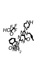 CC#CCn1c(N2CCNCC2)nc2nc(Nc3ccccc3S(N)(=O)=O)n(C)c(=O)c21.O=C(O)C(F)(F)F